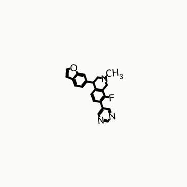 CN1Cc2c(ccc(-c3cncnc3)c2F)C(c2ccc3ccoc3c2)C1